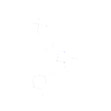 CC(C)Nc1nn(C2CCN(CC(C)(C)C(=O)O)CC2)c2cc(-c3cccc(Cl)c3O)nnc12